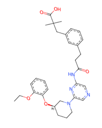 CCOc1ccccc1O[C@@H]1CCCN(c2cncc(NC(=O)CCc3cccc(CC(C)(C)C(=O)O)c3)n2)C1